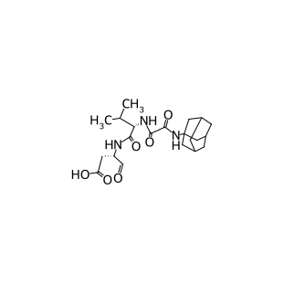 CC(C)[C@H](NC(=O)C(=O)NC12CC3CC(CC(C3)C1)C2)C(=O)N[C@H](C=O)CC(=O)O